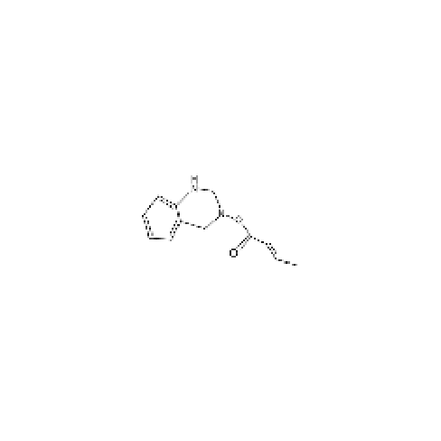 CC=CC(=O)ON1CNc2ccccc2C1